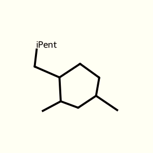 CCCC(C)CC1CCC(C)CC1C